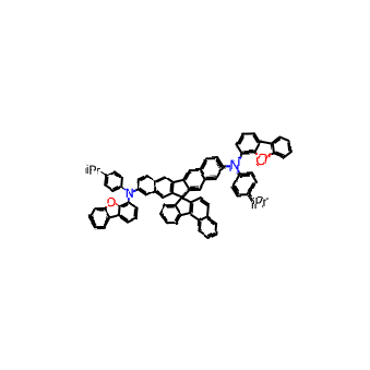 CC(C)c1ccc(N(c2ccc3cc4c(cc3c2)C2(c3cc5cc(N(c6ccc(C(C)C)cc6)c6cccc7c6oc6ccccc67)ccc5cc3-4)c3ccccc3-c3c2ccc2ccccc32)c2cccc3c2oc2ccccc23)cc1